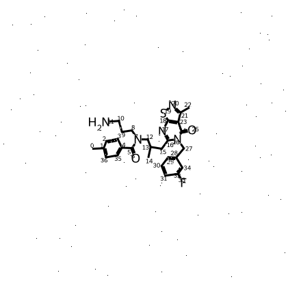 Cc1ccc(C(=O)N(CCCN)CC(C)Cc2nc3snc(C)c3c(=O)n2Cc2cccc(F)c2)cc1